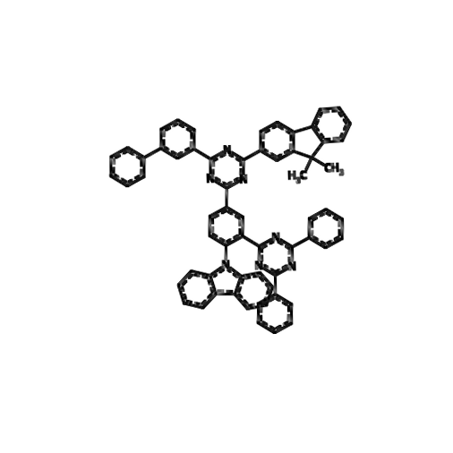 CC1(C)c2ccccc2-c2ccc(-c3nc(-c4cccc(-c5ccccc5)c4)nc(-c4ccc(-n5c6ccccc6c6ccccc65)c(-c5nc(-c6ccccc6)nc(-c6ccccc6)n5)c4)n3)cc21